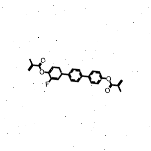 C=C(C)C(=O)OC1=CCC(c2ccc(-c3ccc(OC(=O)C(=C)C)cc3)cc2)C=C1F